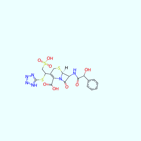 O=C(O)C1=C(C(CS(=O)(=O)O)Sc2nnn[nH]2)CS[C@H]2C(NC(=O)C(O)c3ccccc3)C(=O)N12